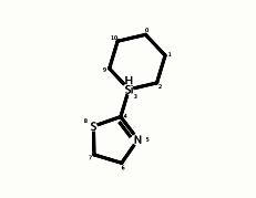 C1CC[SiH](C2=NCCS2)CC1